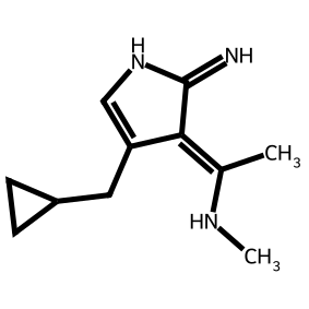 CN/C(C)=C1/C(=N)NC=C1CC1CC1